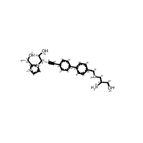 C[C@H](O)c1nccn1[C@@H](C#Cc1ccc(-c2ccc(COCC(N)CO)cc2)cc1)CO